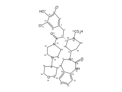 O=C(C(Cc1cc(Cl)c(O)c(Cl)c1)[C@H]1CC(N2CCc3ccccc3NC2=O)CCN1C(=O)O)N1CCN(C2CCOCC2)CC1